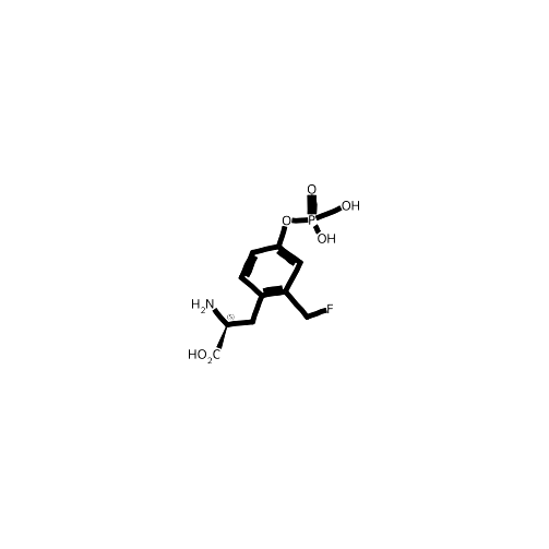 N[C@@H](Cc1ccc(OP(=O)(O)O)cc1CF)C(=O)O